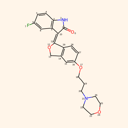 O=C1Nc2ccc(F)cc2/C1=C1\OCc2cc(OCCCN3CCOCC3)ccc21